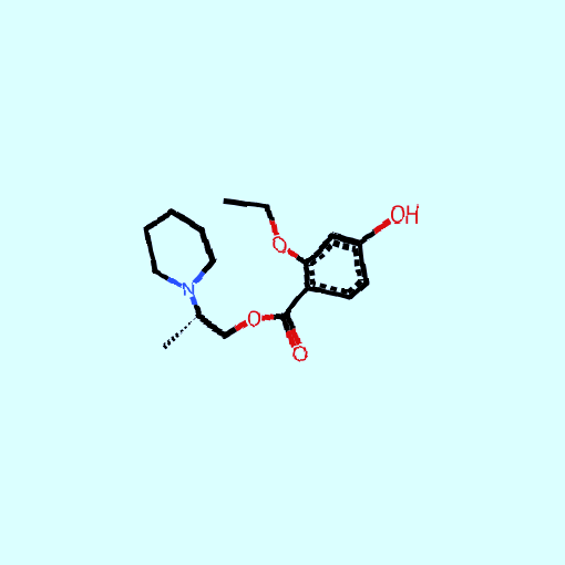 CCOc1cc(O)ccc1C(=O)OC[C@H](C)N1CCCCC1